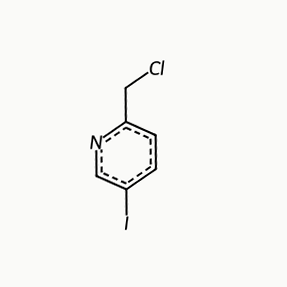 ClCc1ccc(I)cn1